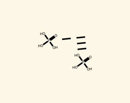 CC.CC.CC.CC.O=P(O)(O)O.O=P(O)(O)O